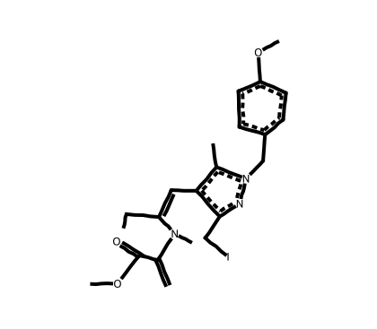 C=C(C(=O)OC)N(C)/C(=C\c1c(CI)nn(Cc2ccc(OC)cc2)c1C)CC